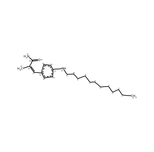 CCCCCCCCCCCCNc1ccc(C=C(C)C(N)=O)cc1